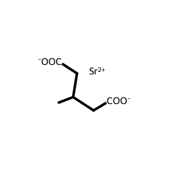 CC(CC(=O)[O-])CC(=O)[O-].[Sr+2]